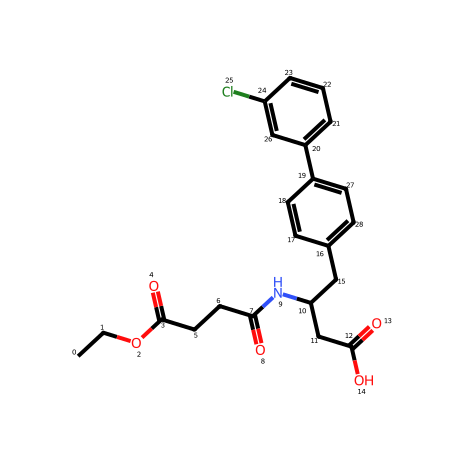 CCOC(=O)CCC(=O)NC(CC(=O)O)Cc1ccc(-c2cccc(Cl)c2)cc1